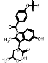 Cc1c([C@H](CC(C)C)C(=O)O)c2cc(O)ccc2n1C(=O)c1ccc(OC(F)(F)F)cc1